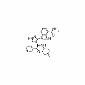 CN1CCC(NN(C(=O)c2ccccc2)c2c[nH]nc2-c2c[nH]c3c(C(N)=O)cccc23)CC1